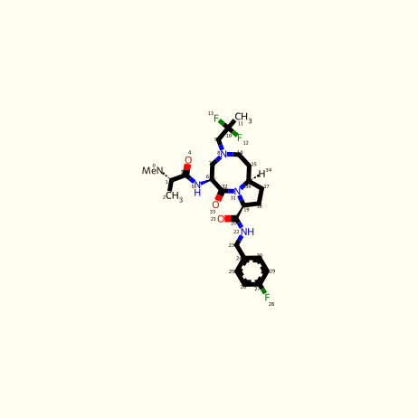 CN[C@@H](C)C(=O)N[C@H]1CN(CC(C)(F)F)CC[C@H]2CC[C@@H](C(=O)NCc3ccc(F)cc3)N2C1=O